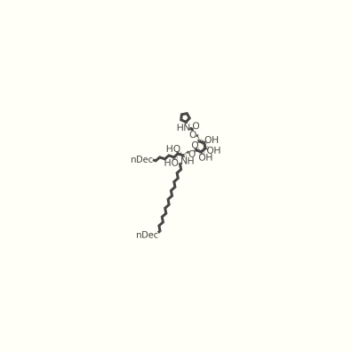 CCCCCCCCCCCCCCCCCCCCCCCCCCN[C@@H](CO[C@H]1O[C@H](COC(=O)NC2CCCC2)[C@H](O)[C@H](O)[C@H]1O)[C@H](O)[C@H](O)CCCCCCCCCCCCCC